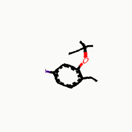 Cc1ccc(I)cc1OC(C)(C)C